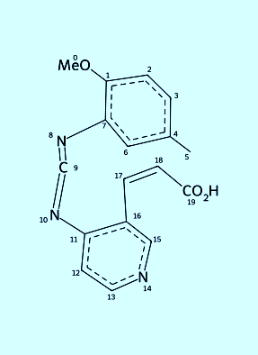 COc1ccc(C)cc1N=C=Nc1ccncc1C=CC(=O)O